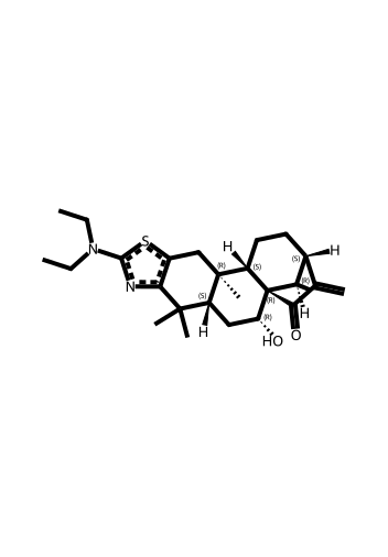 C=C1C(=O)[C@@]23[C@H](O)C[C@@H]4C(C)(C)c5nc(N(CC)CC)sc5C[C@@]4(C)[C@@H]2CC[C@H]1[C@H]3C